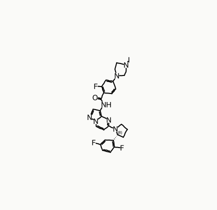 O=C(Nc1cnn2ccc(N3CCC[C@@H]3c3cc(F)ccc3F)nc12)c1ccc(N2CCN(I)CC2)cc1F